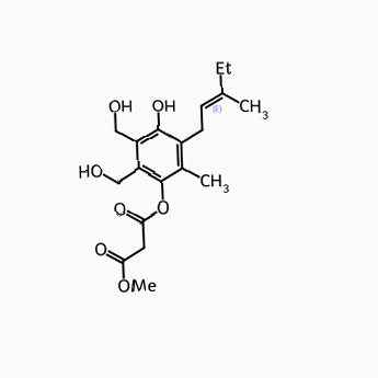 CC/C(C)=C/Cc1c(C)c(OC(=O)CC(=O)OC)c(CO)c(CO)c1O